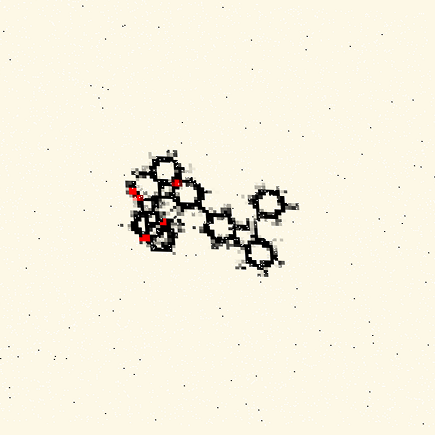 c1ccc(-c2cccc3c2C2(c4ccccc4S3)c3ccccc3Sc3c(-c4ccc5c6ccccc6n(-c6ccccc6)c5c4)cccc32)cc1